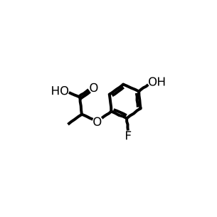 CC(Oc1ccc(O)cc1F)C(=O)O